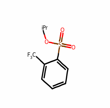 CC(C)OS(=O)(=O)c1ccccc1C(F)(F)F